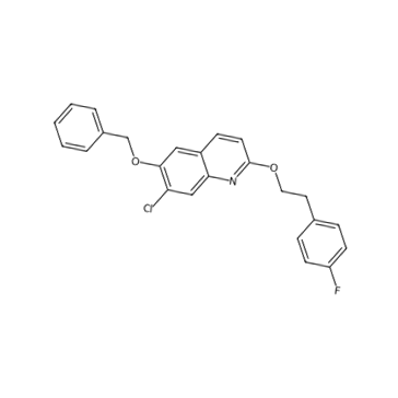 Fc1ccc(CCOc2ccc3cc(OCc4ccccc4)c(Cl)cc3n2)cc1